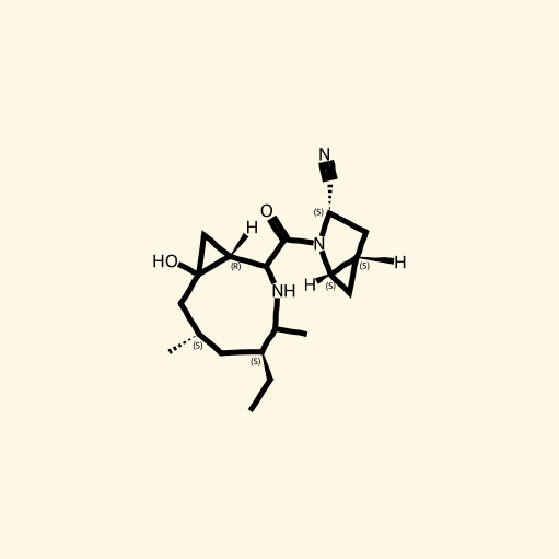 CC[C@H]1C[C@H](C)CC2(O)C[C@@H]2C(C(=O)N2[C@H](C#N)C[C@@H]3C[C@@H]32)NC1C